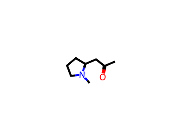 CC(=O)CC1CCCN1C